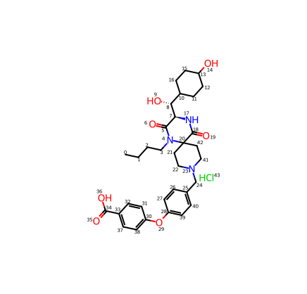 CCCCN1C(=O)[C@@H]([C@H](O)C2CCC(O)CC2)NC(=O)C12CCN(Cc1ccc(Oc3ccc(C(=O)O)cc3)cc1)CC2.Cl